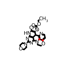 CCOC(=O)OC1=C(C)Nc2nc(N3CCOCC3)nc(N3CCOCC3)c2C1c1ccccn1